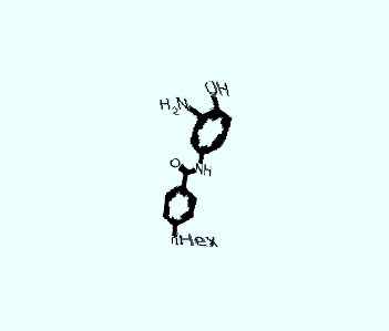 CCCCCCc1ccc(C(=O)Nc2ccc(O)c(N)c2)cc1